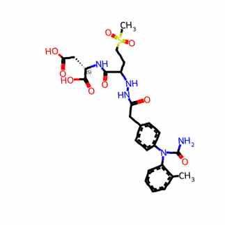 Cc1ccccc1N(C(N)=O)c1ccc(CC(=O)NNC(CCS(C)(=O)=O)C(=O)N[C@@H](CC(=O)O)C(=O)O)cc1